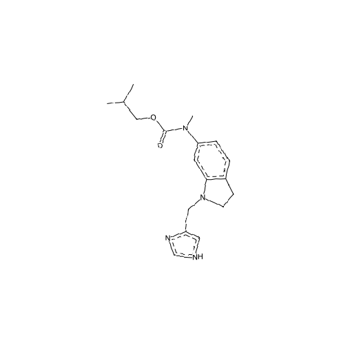 CC(C)COC(=O)N(C)c1ccc2c(c1)N(Cc1c[nH]cn1)CC2